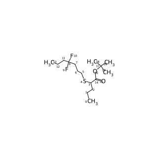 CCCC(SCCCC(F)(F)CCC)C(=O)OC(C)(C)C